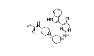 C=CC(=O)NC1CCN([C@H]2CCC[C@@H](Nc3ncc(Cl)c(-c4c[nH]c5ccccc45)n3)C2)CC1